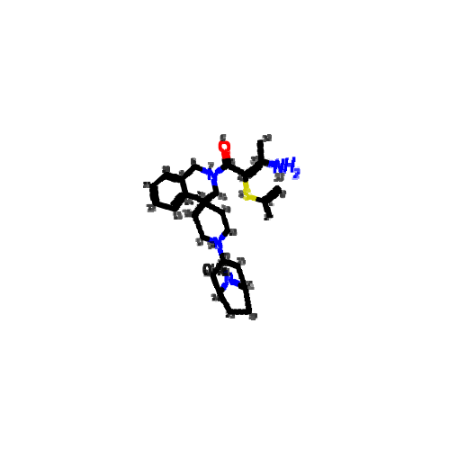 C=C(C)S/C(C(=O)N1Cc2ccccc2C2(CCN(C3CC4CCC(C3)N4C=O)CC2)C1)=C(/C)N